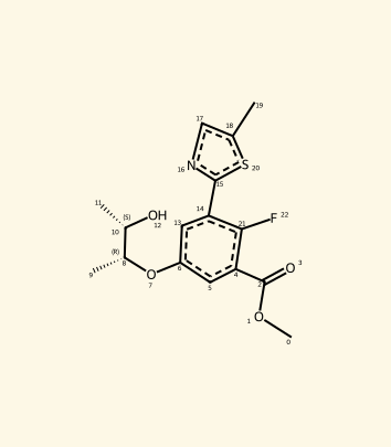 COC(=O)c1cc(O[C@H](C)[C@H](C)O)cc(-c2ncc(C)s2)c1F